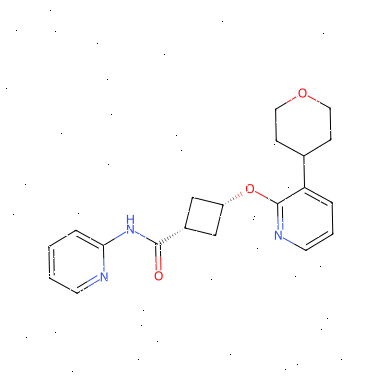 O=C(Nc1ccccn1)[C@H]1C[C@@H](Oc2ncccc2C2CCOCC2)C1